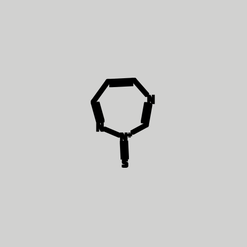 S=[n+]1cncccn1